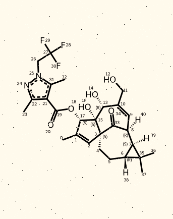 CC1=C[C@@]23CC[C@@H]4[C@@H]([C@H](C=C(CO)[C@@H](O)[C@]2(O)[C@H]1OC(=O)c1c(C)nn(CC(F)(F)F)c1C)C3=O)C4(C)C